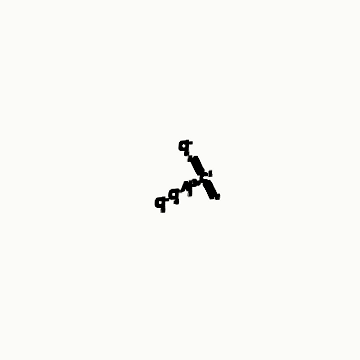 C=C=C.[Al+3].[Cl-].[Cl-].[Cl-]